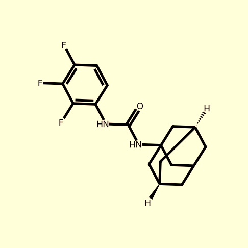 O=C(Nc1ccc(F)c(F)c1F)NC12CC3C[C@H](C1)C[C@H](C3)C2